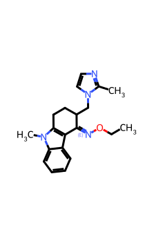 CCO/N=C1/c2c(n(C)c3ccccc23)CCC1Cn1ccnc1C